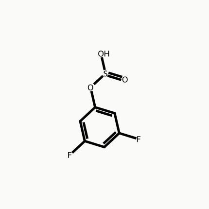 O=S(O)Oc1cc(F)cc(F)c1